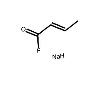 CC=CC(=O)F.[NaH]